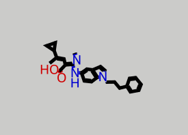 C=N/C(Nc1ccc2c(ccn2CCCc2ccccc2)c1)=C(\C=C(/C)C1CC1)C(=O)O